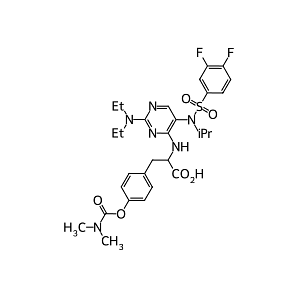 CCN(CC)c1ncc(N(C(C)C)S(=O)(=O)c2ccc(F)c(F)c2)c(NC(Cc2ccc(OC(=O)N(C)C)cc2)C(=O)O)n1